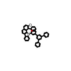 c1ccc(-c2cc(-c3ccccc3)cc(-c3cccc(-n4c5ccccc5c5ccc6ccc7oc8ccccc8c7c6c54)c3)c2)cc1